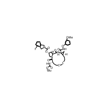 COc1cccc(ONC(=O)[C@@]23C[C@H]2CCCCCCC[C@H](NC(=O)OC(C)(C)C)C(=O)N2C[C@H](OC(=O)N4Cc5cccc(F)c5C4)C[C@H]2C(=O)N3)c1